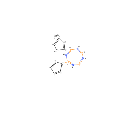 [Fe+2].c1cc[c-](/[PH]2=N/P=NP=NP=N2)c1.c1cc[cH-]c1